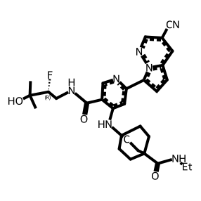 CCNC(=O)C12CCC(Nc3cc(-c4ccc5cc(C#N)cnn45)ncc3C(=O)NC[C@@H](F)C(C)(C)O)(CC1)CC2